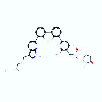 COc1nc(-c2cccc(-c3cccc(-c4ccc5c(CNC[C@H](C)O)cn(C)c5n4)c3Cl)c2Cl)ccc1CN(C[C@@H]1CCC(=O)N1)C(=O)O